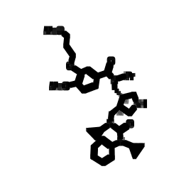 COCCCOc1cc(C(=O)N(C[C@@H]2CNC[C@H]2CN(C(=O)N(c2ccccc2)C2CC2)C2CC2)C(C)C)ccc1OC